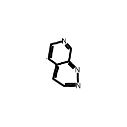 [c]1cncc2nnccc12